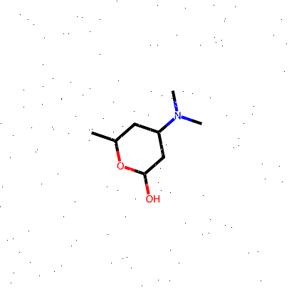 CC1CC(N(C)C)CC(O)O1